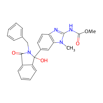 COC(=O)Nc1nc2ccc(C3(O)c4ccccc4C(=O)N3Cc3ccccc3)cc2n1C